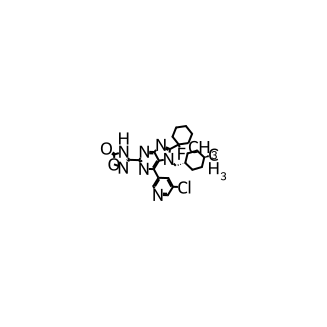 CC1CCCCC1(F)c1nc2nc(-c3noc(=O)[nH]3)nc(-c3cncc(Cl)c3)c2n1C[C@H]1CC[C@H](C)CC1